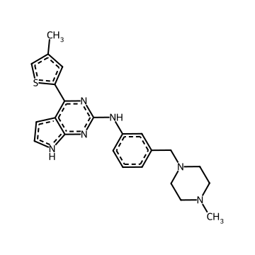 Cc1csc(-c2nc(Nc3cccc(CN4CCN(C)CC4)c3)nc3[nH]ccc23)c1